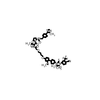 COc1cc(OCCCCOCC(=O)NC(C(=O)N2CCC[C@H]2C(=O)NCc2ccc(-c3scnc3C)cc2)C(C)(C)C)ccc1-c1ccc(N2C(=S)N(c3ccc(C#N)c(C(F)(F)F)c3)C(=O)C2(C)C)cc1